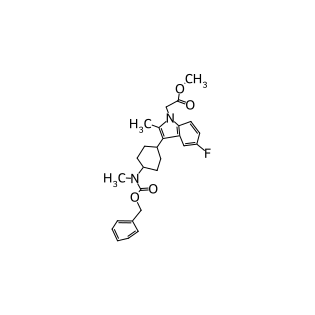 COC(=O)Cn1c(C)c(C2CCC(N(C)C(=O)OCc3ccccc3)CC2)c2cc(F)ccc21